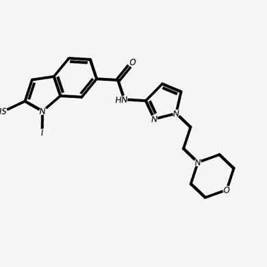 O=C(Nc1ccn(CCN2CCOCC2)n1)c1ccc2cc(S)n(I)c2c1